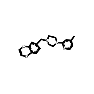 Cc1ccnc(N2CCN(Cc3ccc4c(c3)OC=CO4)CC2)c1